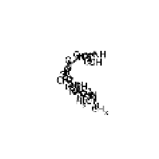 COCCn1ncc(-c2ccc(-c3cnc(C(=O)Nc4ccc(C(=O)N5CCN(C(=O)CCCC(=O)N6CC[N+](CC(=O)O)(CC7CNC7)CC6)CC5)c(Cl)c4)n3C)c(F)c2F)c1C